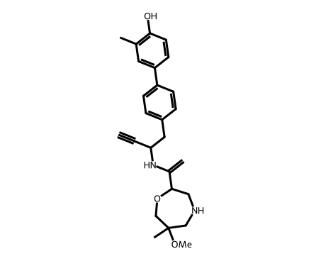 C#CC(Cc1ccc(-c2ccc(O)c(C)c2)cc1)NC(=C)C1CNCC(C)(OC)CO1